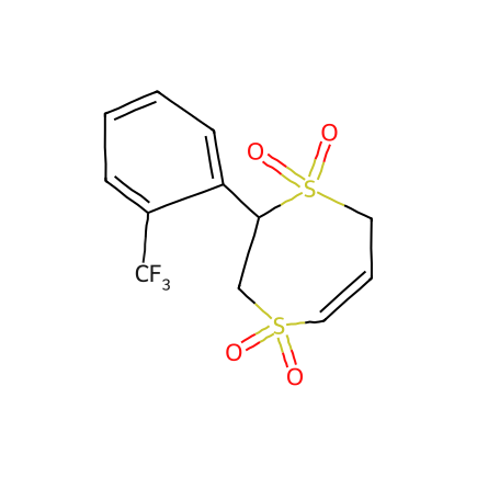 O=S1(=O)C=CCS(=O)(=O)C(c2ccccc2C(F)(F)F)C1